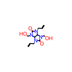 C=CCN1C(=O)N(CO)C2C1N(CO)C(=O)N2CC=C